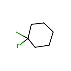 FC1(F)CC[CH]CC1